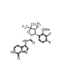 COc1c([C@H]2[C@H](C(=O)Nc3cnn4c(=O)[nH]ccc34)O[C@@](C)(C(F)(F)F)[C@H]2C)ccc(F)c1F